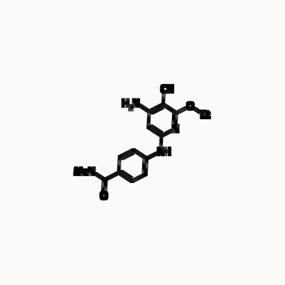 CCOc1nc(Nc2ccc(C(=O)NC)cc2)cc(N)c1C#N